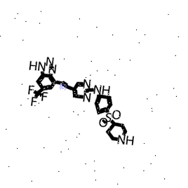 O=S(=O)(c1ccc(Nc2ncc(/C=C/c3cc(C(F)(F)F)cc4[nH]nnc34)cn2)cc1)C1CCNCC1